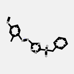 C=Nc1ccc(/N=N/c2nc(S(=O)(=O)Cc3ccccc3)ns2)c(C)c1